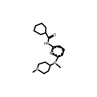 CN1CCC(N(C)c2cccc(NC(=O)C3CCCCC3)n2)CC1